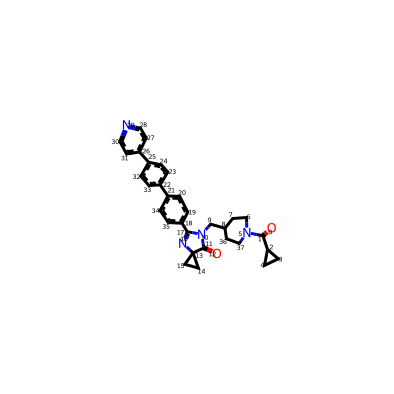 O=C(C1CC1)N1CCC(CN2C(=O)C3(CC3)N=C2c2ccc(-c3ccc(-c4ccncc4)cc3)cc2)CC1